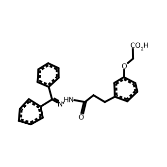 O=C(O)COc1cccc(CCC(=O)NN=C(c2ccccc2)c2ccccc2)c1